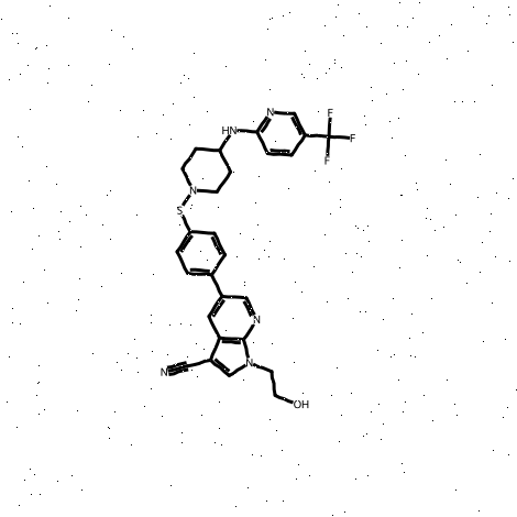 N#Cc1cn(CCO)c2ncc(-c3ccc(SN4CCC(Nc5ccc(C(F)(F)F)cn5)CC4)cc3)cc12